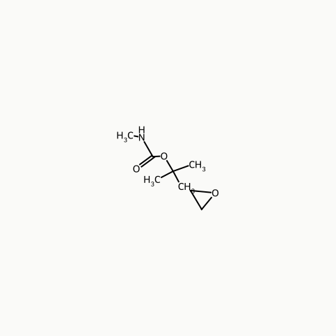 C1CO1.CNC(=O)OC(C)(C)C